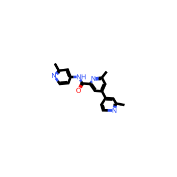 Cc1cc(NC(=O)c2cc(-c3ccnc(C)c3)cc(C)n2)ccn1